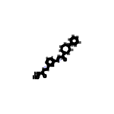 O=C(/C=C/c1cccc(/C=C/C(=O)N2CCCC(c3ccccc3)CC2)n1)NO